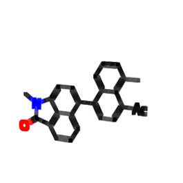 CC(=O)c1ccc(-c2ccc3c4c(cccc24)C(=O)N3C)c2cccc(C)c12